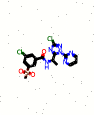 CC(NC(=O)c1cc(Cl)cc(S(C)(=O)=O)c1)c1nc(Cl)nn1-c1ncccn1